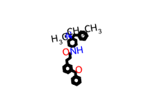 Cc1cccc(CC2(N(C)C)CCC(NC(=O)CCc3cccc(C(=O)c4ccccc4)c3)CC2)c1